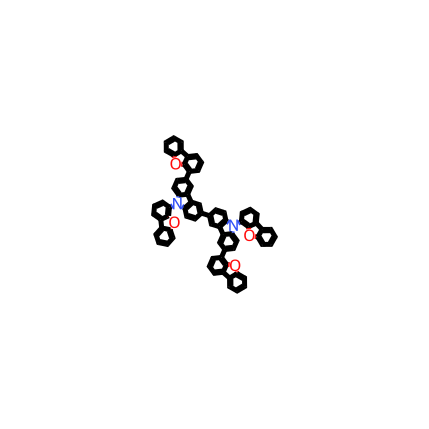 c1ccc2c(c1)oc1c(-c3ccc4c(c3)c3cc(-c5ccc6c(c5)c5cc(-c7cccc8c7oc7ccccc78)ccc5n6-c5cccc6c5oc5ccccc56)ccc3n4-c3cccc4c3oc3ccccc34)cccc12